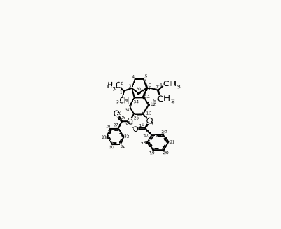 CC(C)C12CCC(C(C)C)(C1)C1CC(OC(=O)c3ccccc3)C(OC(=O)c3ccccc3)CC12